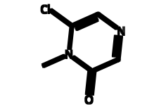 Cn1c(Cl)cncc1=O